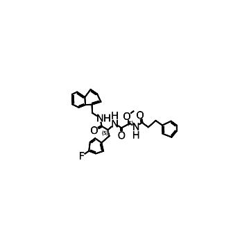 CO[C@H](NC(=O)CCc1ccccc1)C(=O)N[C@@H](Cc1ccc(F)cc1)C(=O)NCc1cccc2ccccc12